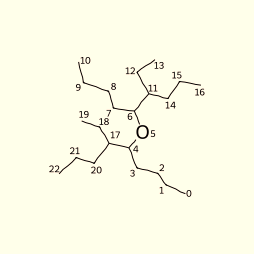 CCCCC(OC(CCCC)C(CC)CCC)C(CC)CCC